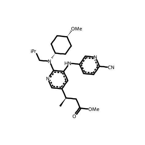 COC(=O)C[C@@H](C)c1cnc(N(CC(C)C)[C@H]2CC[C@@H](OC)CC2)c(Nc2ccc(C#N)nc2)c1